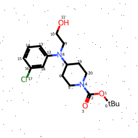 CC(C)(C)OC(=O)N1CCC(N(CCO)c2cccc(Cl)c2)CC1